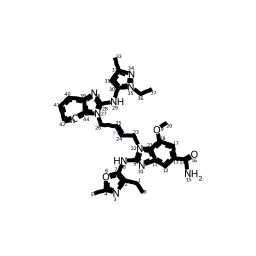 CCc1nc(C)oc1Nc1nc2cc(C(N)=O)cc(OC)c2n1C/C=C/Cn1c(Nc2cc(C)nn2CC)nc2ccccc21